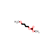 COCCCCOC(=O)OC